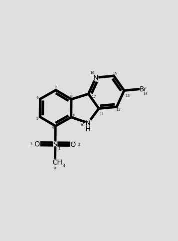 CS(=O)(=O)c1cccc2c1[nH]c1cc(Br)cnc12